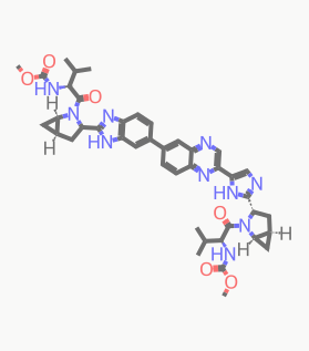 COC(=O)N[C@H](C(=O)N1C(c2nc3ccc(-c4ccc5nc(-c6cnc([C@@H]7C[C@H]8C[C@H]8N7C(=O)[C@@H](NC(=O)OC)C(C)C)[nH]6)cnc5c4)cc3[nH]2)C[C@H]2C[C@H]21)C(C)C